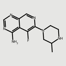 CC1CN(c2ncc3ncnc(N)c3c2F)CCN1